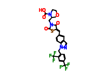 O=C1S/C(=C\c2ccc3c(cnn3Cc3ccc(C(F)(F)F)cc3C(F)(F)F)c2)C(=O)N1C[C@@H]1COCCN1C(=O)O